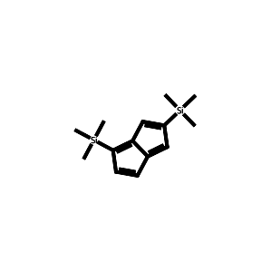 C[Si](C)(C)C1=CC2=C([Si](C)(C)C)C=CC2=C1